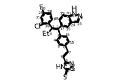 CCC(=C(c1ccc(C=Cc2noc(=S)[nH]2)cc1)c1ccc2[nH]ncc2c1)c1ccc(F)cc1Cl